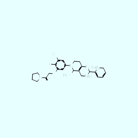 CCc1cc(N2CCC3=C(CNC(C4=CC=CCN4)N3)C2C)cc(OCC(=O)N2CCCC2)c1CC